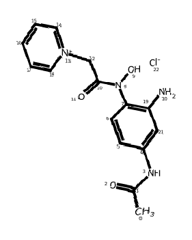 CC(=O)Nc1ccc(N(O)C(=O)C[n+]2ccccc2)c(N)c1.[Cl-]